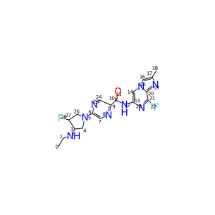 CCNC1CN(c2cnc(C(=O)Nc3cn4cc(C)nc4c(F)n3)cn2)CC1F